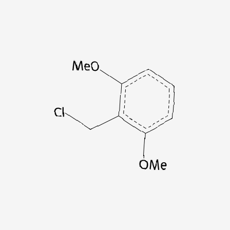 COc1cccc(OC)c1CCl